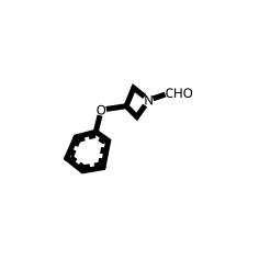 O=CN1CC(Oc2ccccc2)C1